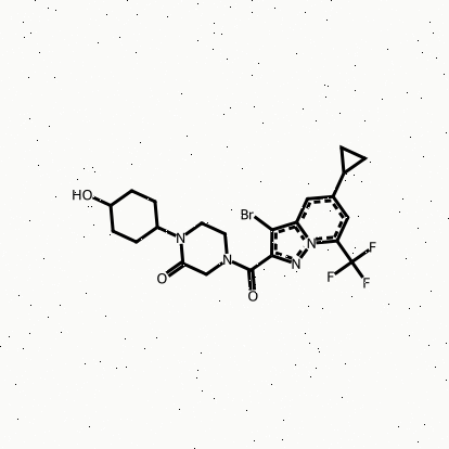 O=C(c1nn2c(C(F)(F)F)cc(C3CC3)cc2c1Br)N1CCN(C2CCC(O)CC2)C(=O)C1